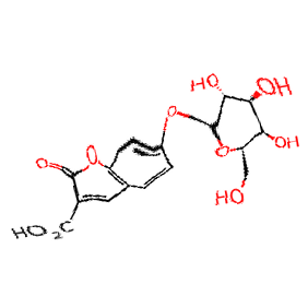 O=C(O)c1cc2ccc(O[C@@H]3O[C@H](CO)[C@H](O)[C@H](O)[C@H]3O)cc2oc1=O